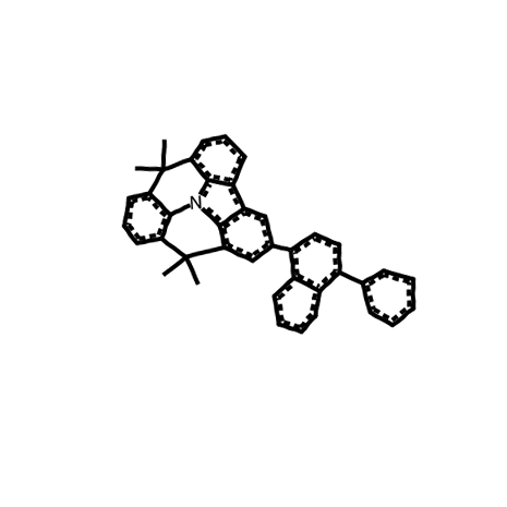 CC1(C)c2cccc3c2-n2c4c1cccc4c1cc(-c4ccc(-c5ccccc5)c5ccccc45)cc(c12)C3(C)C